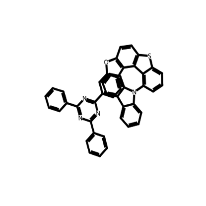 c1ccc(-c2nc(-c3ccccc3)nc(-c3ccc4c(c3)oc3ccc5sc6cccc(-n7c8ccccc8c8ccccc87)c6c5c34)n2)cc1